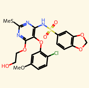 COc1ccc(Cl)c(Oc2c(NS(=O)(=O)c3ccc4c(c3)OCO4)nc(SC)nc2OCCO)c1